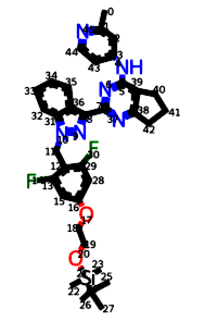 Cc1cc(Nc2nc(-c3nn(Cc4c(F)cc(OCCO[Si](C)(C)C(C)(C)C)cc4F)c4ccccc34)nc3c2CCC3)ccn1